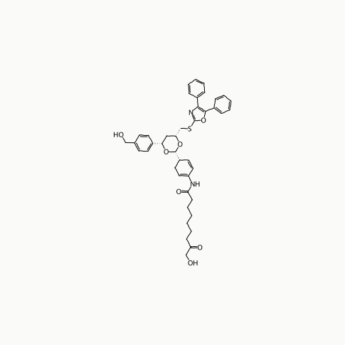 O=C(CO)CCCCCCC(=O)NC1=CCC([C@H]2O[C@@H](CSc3nc(-c4ccccc4)c(-c4ccccc4)o3)C[C@@H](c3ccc(CO)cc3)O2)C=C1